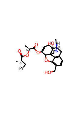 CC(C)C[C@H](C)C(=O)O[C@@H](C)C(=O)OC1=CC[C@@]2(O)[C@H]3Cc4ccc(CO)c5c4C2(CCN3C)C1O5